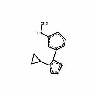 O=CNc1cccc(-c2nncn2C2CC2)c1